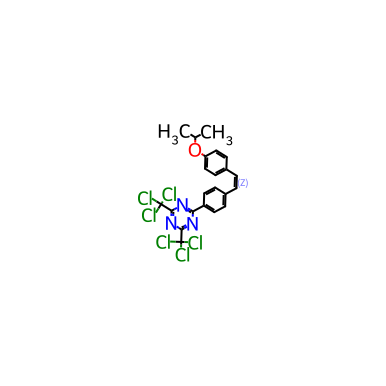 CC(C)Oc1ccc(/C=C\c2ccc(-c3nc(C(Cl)(Cl)Cl)nc(C(Cl)(Cl)Cl)n3)cc2)cc1